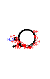 CCCCOC(=O)C1[C@@H]2CC(O[C@@H]3OC[C@@H](O)[C@H](N)[C@H]3O)/C=C/C=C/C=C/C=C/C=C/C=C/C=C/[C@H](C)[C@@H](O)C[C@H](C)OC(=O)CC(O)CC(O)CCC(O)C(O)CC(O)CC(O)(C[C@@H]1O)O2